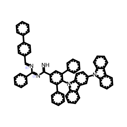 N=C(/N=C(\N=C\c1ccc(-c2ccccc2)cc1)c1ccccc1)c1cc(-c2ccccc2)c(-n2c3ccccc3c3cc(-n4c5ccccc5c5ccccc54)ccc32)c(-c2ccccc2)c1